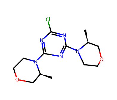 C[C@H]1COCCN1c1nc(Cl)nc(N2CCOC[C@@H]2C)n1